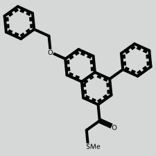 CSCC(=O)c1cc(-c2ccccc2)c2ccc(OCc3ccccc3)cc2c1